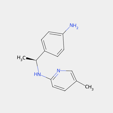 Cc1ccc(N[C@@H](C)c2ccc(N)cc2)nc1